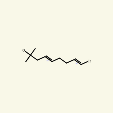 CC/C=C/CC/C=C/CC(C)(C)[O]